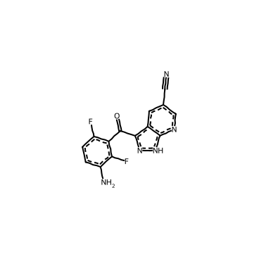 N#Cc1cnc2[nH]nc(C(=O)c3c(F)ccc(N)c3F)c2c1